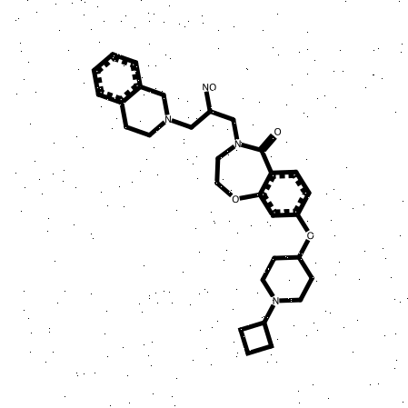 O=NC(CN1CCc2ccccc2C1)CN1CCOc2cc(OC3CCN(C4CCC4)CC3)ccc2C1=O